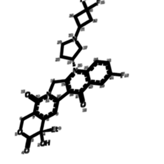 CC[C@@]1(O)C(=O)OCc2c1cc1n(c2=O)Cc2c-1c(=O)c1cc(F)ccc1n2[C@@H]1CCN(C2CC(F)(F)C2)C1